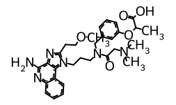 COCCc1nc2c(N)nc3ccccc3c2n1CCCN(Cc1cccc(OC(C)C(=O)O)c1)C(=O)CN(C)C